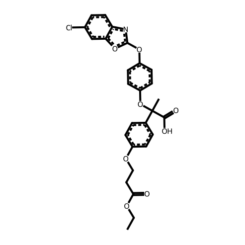 CCOC(=O)CCOc1ccc(C(C)(Oc2ccc(Oc3nc4ccc(Cl)cc4o3)cc2)C(=O)O)cc1